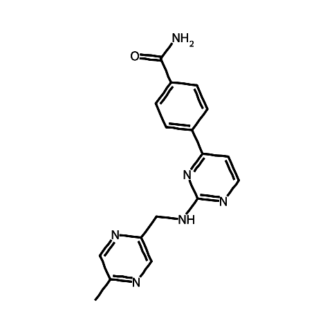 Cc1cnc(CNc2nccc(-c3ccc(C(N)=O)cc3)n2)cn1